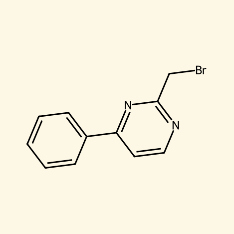 BrCc1nccc(-c2ccccc2)n1